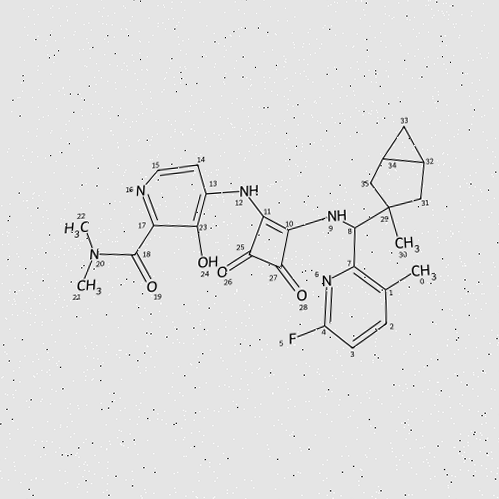 Cc1ccc(F)nc1C(Nc1c(Nc2ccnc(C(=O)N(C)C)c2O)c(=O)c1=O)C1(C)CC2CC2C1